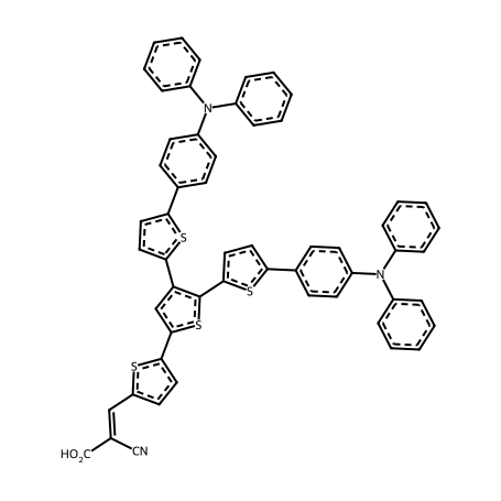 N#C/C(=C\c1ccc(-c2cc(-c3ccc(-c4ccc(N(c5ccccc5)c5ccccc5)cc4)s3)c(-c3ccc(-c4ccc(N(c5ccccc5)c5ccccc5)cc4)s3)s2)s1)C(=O)O